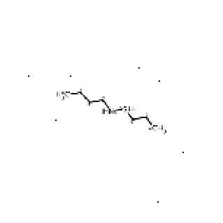 CCCCN[SiH]CCC